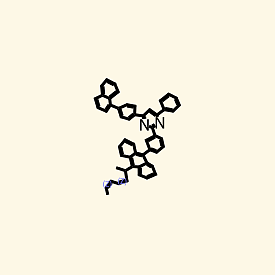 C/C=C\C=C/C(C)c1c2ccccc2c(-c2cccc(-c3nc(-c4ccccc4)cc(-c4ccc(-c5cccc6ccccc56)cc4)n3)c2)c2ccccc12